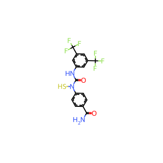 NC(=O)c1ccc(N(S)C(=O)Nc2cc(C(F)(F)F)cc(C(F)(F)F)c2)cc1